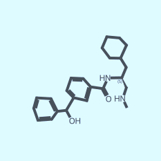 CNC[C@H](CC1CCCCC1)NC(=O)c1cccc(C(O)c2ccccc2)c1